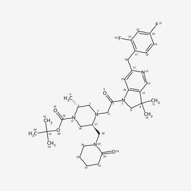 C[C@@H]1CN(CC(=O)N2CC(C)(C)c3cnc(Cc4ccc(F)cc4F)cc32)[C@@H](CN2CCCCC2=O)CN1C(=O)OC(C)(C)C